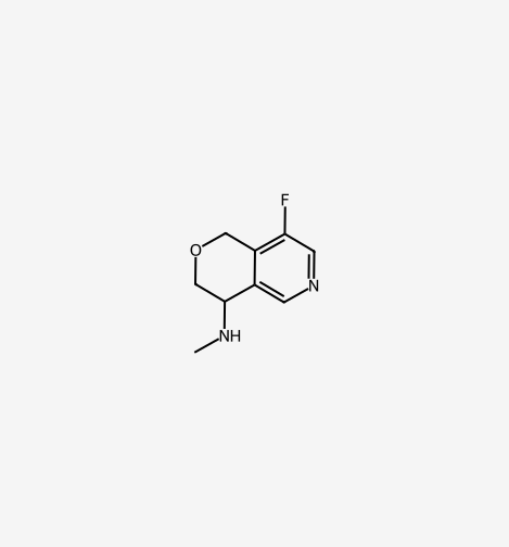 CNC1COCc2c(F)cncc21